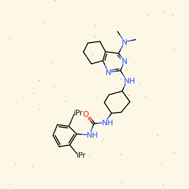 CC(C)c1cccc(C(C)C)c1NC(=O)NC1CCC(Nc2nc3c(c(N(C)C)n2)CCCC3)CC1